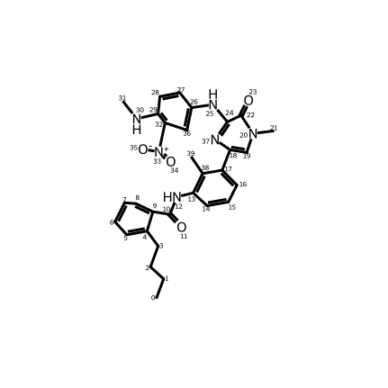 CCCCc1ccccc1C(=O)Nc1cccc(-c2cn(C)c(=O)c(Nc3ccc(NC)c([N+](=O)[O-])c3)n2)c1C